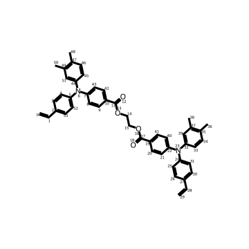 C=Cc1ccc(N(c2ccc(C(=O)OCCOC(=O)c3ccc(N(c4ccc(C=C)cc4)c4ccc(C)c(C)c4)cc3)cc2)c2ccc(C)c(C)c2)cc1